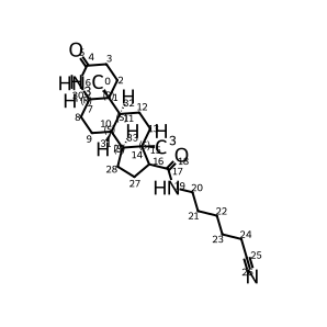 C[C@]12CCC(=O)N[C@@H]1CC[C@@H]1[C@@H]2CC[C@]2(C)C(C(=O)NCCCCCC#N)CC[C@@H]12